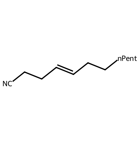 CCCCCCCC=CCCC#N